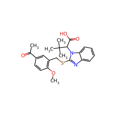 COc1ccc(C(C)=O)cc1CSc1nc2ccccc2n1C(C(=O)O)C(C)(C)C